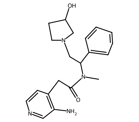 CN(C(=O)Cc1ccncc1N)C(CN1CCC(O)C1)c1ccccc1